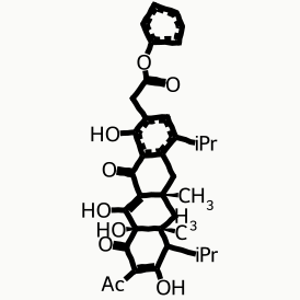 CC(=O)C1=C(O)C(C(C)C)[C@@]2(C)C[C@@]3(C)Cc4c(C(C)C)cc(CC(=O)Oc5ccccc5)c(O)c4C(=O)C3=C(O)[C@@]2(O)C1=O